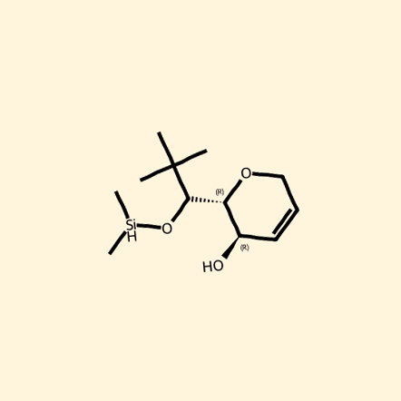 C[SiH](C)OC([C@@H]1OCC=C[C@H]1O)C(C)(C)C